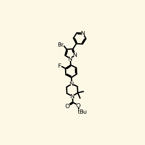 CC(C)(C)OC(=O)N1CCN(c2ccc(-n3cc(Br)c(-c4ccncc4)n3)c(F)c2)CC1(C)C